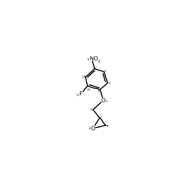 O=[N+]([O-])c1ccc(OCC2CO2)c(F)c1